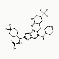 CN(c1cc2nc(C(NC(=O)O)C3CCC(F)(F)CC3)cn2nc1CC1C[C@@H](C(F)(F)F)CNC1=O)C1CCOCC1